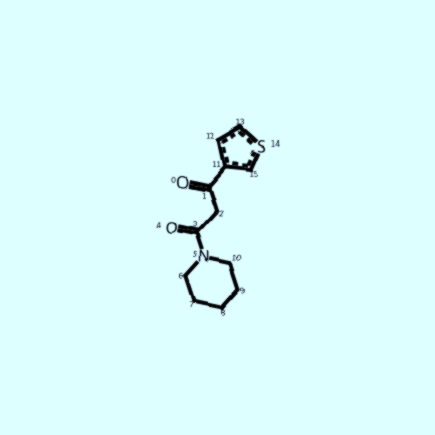 O=C(CC(=O)N1CCCCC1)c1ccsc1